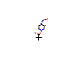 CC(C)(C)C(=O)ON1CCC(N=C=O)CC1